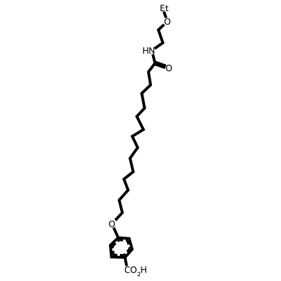 CCOCCNC(=O)CCCCCCCCCCCCCCOc1ccc(C(=O)O)cc1